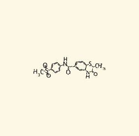 CC1Sc2ccc(C(=O)Nc3ccc(S(C)(=O)=O)cc3)cc2NC1=O